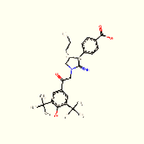 CCC[C@H]1CN(CC(=O)c2cc(C(C)(C)C)c(O)c(C(C)(C)C)c2)C(=N)[C@@H]1c1ccc(C(=O)O)cc1